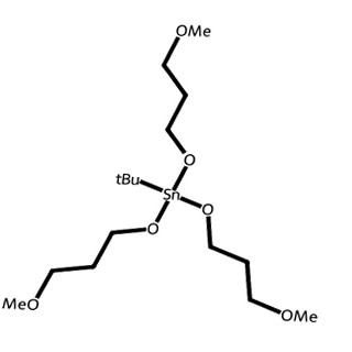 COCCC[O][Sn]([O]CCCOC)([O]CCCOC)[C](C)(C)C